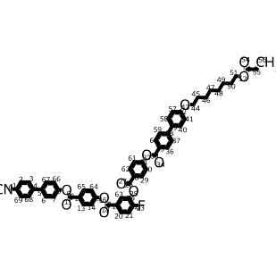 [C-]#[N+]c1ccc(-c2ccc(OC(=O)c3ccc(OC(=O)c4ccc(F)c(OC(=O)c5ccc(OC(=O)c6ccc(-c7ccc(OCCCCCCCCOC(=O)C=C)cc7)cc6)cc5)c4)cc3)cc2)cc1